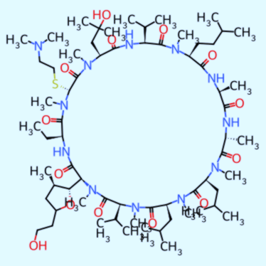 CC[C@@H]1NC(=O)[C@H]([C@@H]2OC(CCO)C[C@H]2C)N(C)C(=O)[C@H](C(C)C)N(C)C(=O)[C@H](CC(C)C)N(C)C(=O)[C@H](CC(C)C)N(C)C(=O)[C@@H](C)NC(=O)[C@H](C)NC(=O)[C@H](CCC(C)C)N(C)C(=O)[C@H](C(C)C)NC(=O)[C@H](CC(C)(C)O)N(C)C(=O)[C@@H](SCCN(C)C)N(C)C1=O